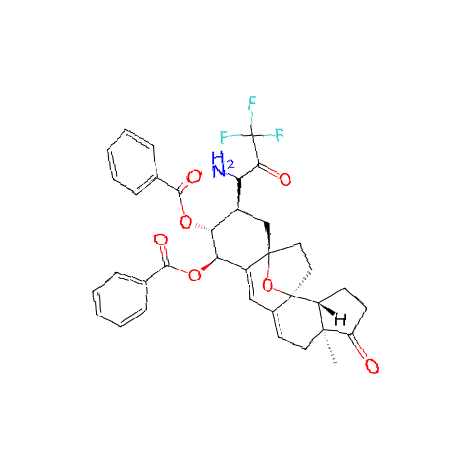 C[C@]12CC=C3C=C4[C@@H](OC(=O)c5ccccc5)[C@H](OC(=O)c5ccccc5)[C@@H](C(N)C(=O)C(F)(F)F)C[C@]45CC[C@]3(O5)[C@@H]1CCC2=O